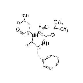 CC(C)(C)OC(=O)N[C@H](Cc1ccccc1)C(=O)N[C@H]([C]=O)CC(=O)O